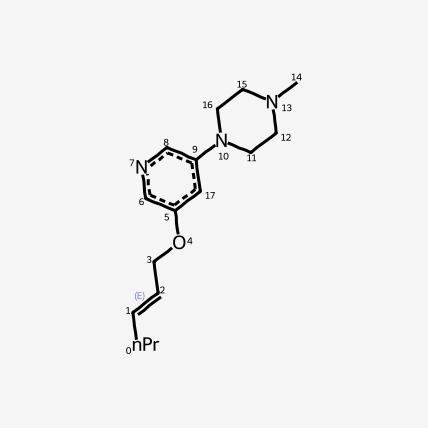 CCC/C=C/COc1cncc(N2CCN(C)CC2)c1